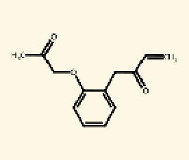 C=CC(=O)Cc1ccccc1OCC(C)=O